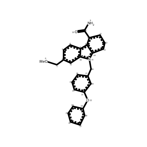 COCc1c[c]c2c3c(C(N)=O)cccc3n(Cc3cccc(Oc4ccccc4)c3)c2c1